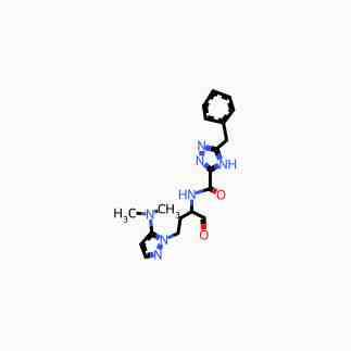 CN(C)c1ccnn1CCC(C=O)NC(=O)c1nnc(Cc2ccccc2)[nH]1